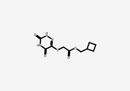 O=C(CSc1n[nH]c(=O)[nH]c1=O)OCC1CCC1